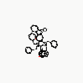 [O-][s+]1c2ccccc2c2cc([Si](Cc3ccccc3)(Cc3ccccc3)Cc3ccccc3)c([Si](Cc3ccccc3)(Cc3ccccc3)Cc3ccccc3)cc21